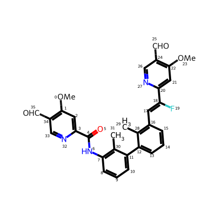 COc1cc(C(=O)Nc2cccc(-c3cccc(/C=C(\F)c4cc(OC)c(C=O)cn4)c3C)c2C)ncc1C=O